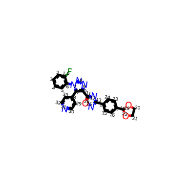 Fc1ccccc1-n1nnc(-c2nc(-c3ccc(C4OCCO4)cc3)no2)c1-c1ccncc1